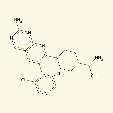 CC(N)C1CCN(c2nc3nc(N)ncc3cc2-c2c(Cl)cccc2Cl)CC1